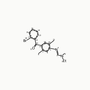 CCN(C)C=Nc1cc(C)c(C(=O)c2ccccc2Br)cc1C